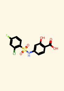 O=C(O)c1ccc(NS(=O)(=O)c2ccc(F)cc2Cl)cc1O